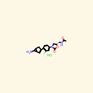 CC(=O)NC[C@H]1CN(c2ccc(C3=CC4C(N)C4C3)c(F)c2)C(=O)O1.Cl